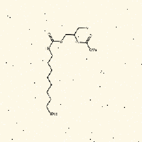 CCCCCCCCCCCCCCCCCCNC(=O)OCC(C[N])NC(=O)OC